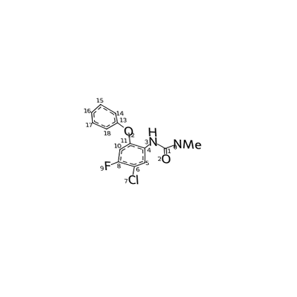 CNC(=O)Nc1cc(Cl)c(F)cc1Oc1ccccc1